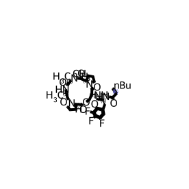 CCCC/C=C/C(=O)N[C@@H](Cc1cc(F)c(F)c(F)c1)C(=O)N[C@H]1COC(=O)[C@@H]2CCCN2C(=O)[C@H](C)NC(=O)[C@H](C)N(C)C(=O)[C@@H]2CCCN2C1=O